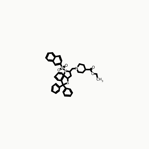 CCOC(=O)C1CCN(CC2CC(SC(c3ccccc3)(c3ccccc3)c3ccccc3)CN2S(=O)(=O)c2ccc3ccccc3c2)CC1